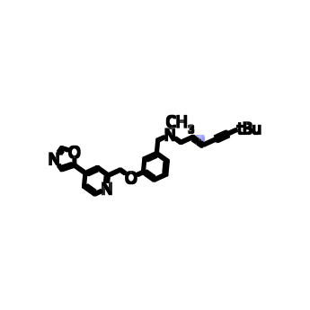 CN(C/C=C/C#CC(C)(C)C)Cc1cccc(OCc2cc(-c3cnco3)ccn2)c1